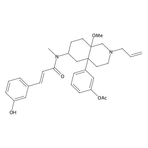 C=CCN1CCC2(c3cccc(OC(C)=O)c3)CC(N(C)C(=O)/C=C/c3cccc(O)c3)CCC2(OC)C1